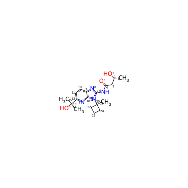 C[C@@H](O)CC(=O)Nc1nc2ccc(C(C)(C)O)nc2n1C1(C)CCC1